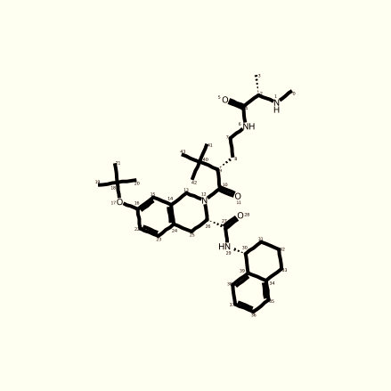 CN[C@@H](C)C(=O)NCC[C@H](C(=O)N1Cc2cc(OC(C)(C)C)ccc2C[C@H]1C(=O)N[C@@H]1CCCc2ccccc21)C(C)(C)C